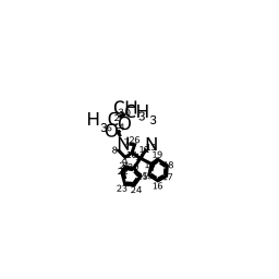 CC(C)(C)OC(=O)N1CCC(C(C#N)(c2ccccc2)c2ccccc2)C1